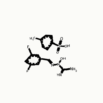 Cc1ccc(S(=O)(=O)O)cc1.N=C(N)N(O)N=Cc1cc(F)cc(F)c1